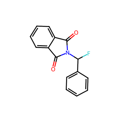 O=C1c2ccccc2C(=O)N1C(F)c1ccccc1